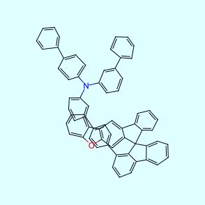 c1ccc(-c2ccc(N(c3cccc(-c4ccccc4)c3)c3cccc(-c4ccc(-c5cccc6c5C5(c7ccccc7-c7cc8c(cc75)oc5ccccc58)c5ccccc5-6)cc4)c3)cc2)cc1